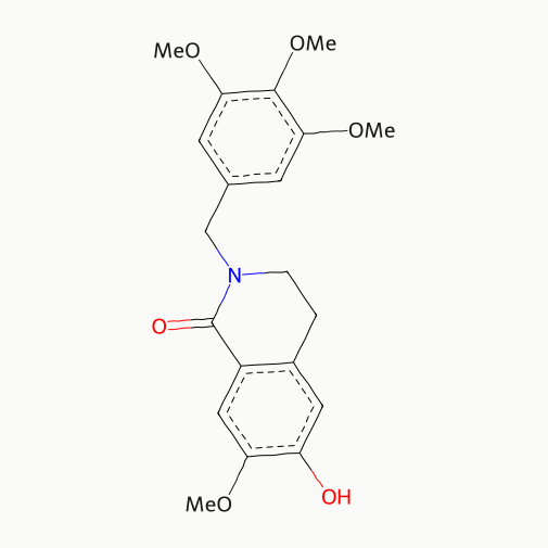 COc1cc2c(cc1O)CCN(Cc1cc(OC)c(OC)c(OC)c1)C2=O